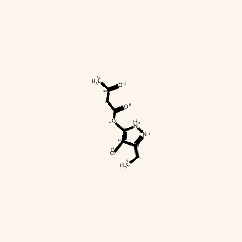 CCc1n[nH]c(OC(=O)CC(C)=O)c1Cl